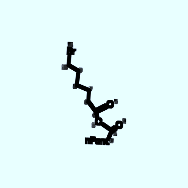 CCCCCC(=O)OC(=O)CCCCCBr